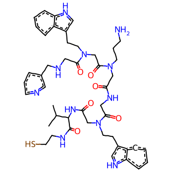 CC(C)C(NC(=O)CN(CCc1c[nH]c2ccccc12)C(=O)CNC(=O)CN(CCCN)C(=O)CN(CCc1c[nH]c2ccccc12)C(=O)CNCc1cccnc1)C(=O)NCCS